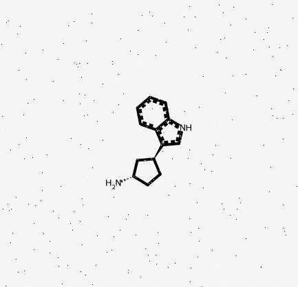 N[C@H]1CC[C@H](c2c[nH]c3ccccc23)C1